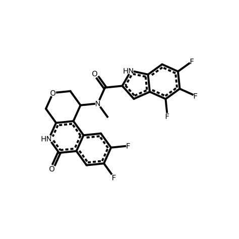 CN(C(=O)c1cc2c(F)c(F)c(F)cc2[nH]1)C1COCc2[nH]c(=O)c3cc(F)c(F)cc3c21